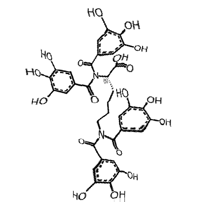 O=C(O)[C@H](CCCCN(C(=O)c1cc(O)c(O)c(O)c1)C(=O)c1cc(O)c(O)c(O)c1)N(C(=O)c1cc(O)c(O)c(O)c1)C(=O)c1cc(O)c(O)c(O)c1